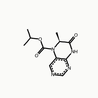 CC(C)OC(=O)N1c2cncnc2NC(=O)[C@@H]1C